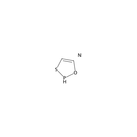 C1=CSPO1.[N]